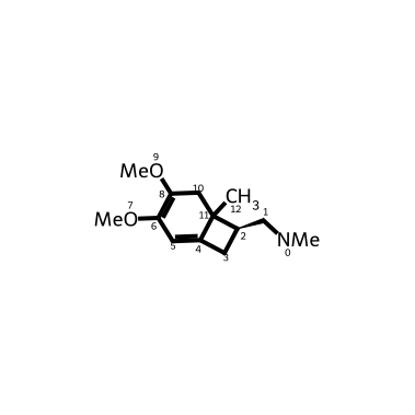 CNC[C@H]1CC2=CC(OC)=C(OC)CC21C